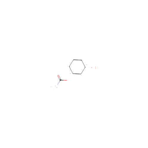 NC(=O)O[C@@H]1CCC[C@H](O)C1